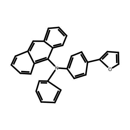 c1ccc(N(c2ccc(-c3ccco3)cc2)c2c3ccccc3cc3ccccc23)cc1